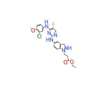 CCOC(=O)CCN1NCc2cc(Nc3ncc(F)c(Nc4ccc(OC)c(Cl)c4)n3)ccc21